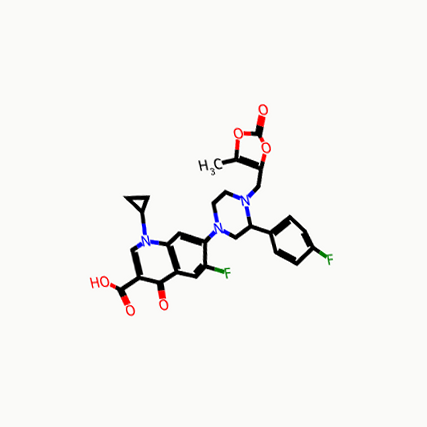 Cc1oc(=O)oc1CN1CCN(c2cc3c(cc2F)c(=O)c(C(=O)O)cn3C2CC2)CC1c1ccc(F)cc1